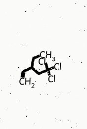 C=CC(CC)CC(Cl)(Cl)Cl